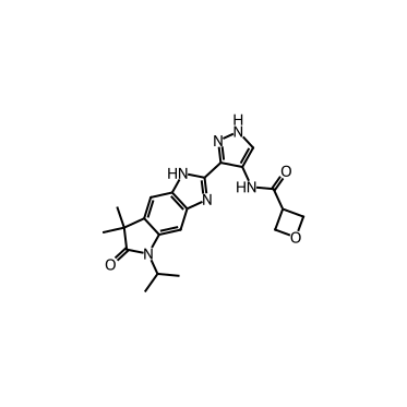 CC(C)N1C(=O)C(C)(C)c2cc3[nH]c(-c4n[nH]cc4NC(=O)C4COC4)nc3cc21